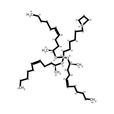 CCCCC/C=C\CC[C@H](C)O[Si](CCCCCCN1CCC1)(O[C@@H](C)CC/C=C\CCCCC)O[C@@H](C)CC/C=C\CCCCC